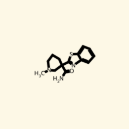 CN1CCCC(C(N)=O)(c2nc3ccccc3s2)C1